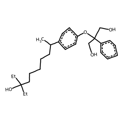 CCC(O)(CC)CCCCCC(C)c1ccc(OC(CO)(CO)c2ccccc2)cc1